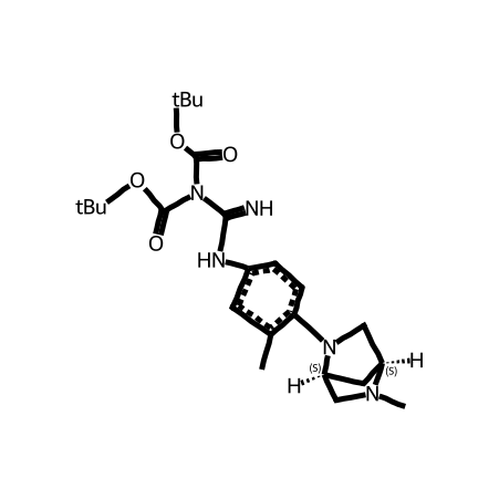 Cc1cc(NC(=N)N(C(=O)OC(C)(C)C)C(=O)OC(C)(C)C)ccc1N1C[C@@H]2C[C@H]1CN2C